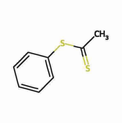 CC(=S)Sc1ccccc1